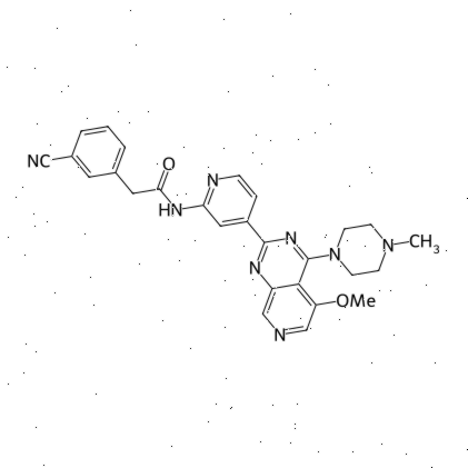 COc1cncc2nc(-c3ccnc(NC(=O)Cc4cccc(C#N)c4)c3)nc(N3CCN(C)CC3)c12